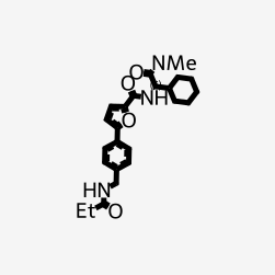 CCC(=O)NCc1ccc(-c2ccc(C(=O)N[C@H](C(=O)NC)C3CCCCC3)o2)cc1